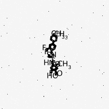 COc1cc(C(=O)O)c(F)cc1NSc1csc(-c2ccc(C3CCC(C)(C)CC3)cc2C(F)F)n1